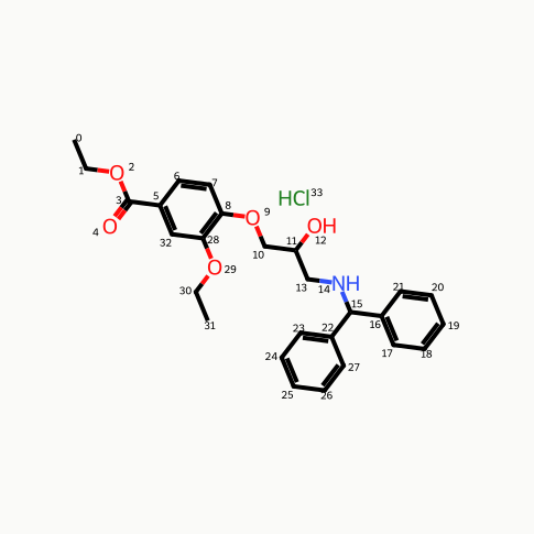 CCOC(=O)c1ccc(OCC(O)CNC(c2ccccc2)c2ccccc2)c(OCC)c1.Cl